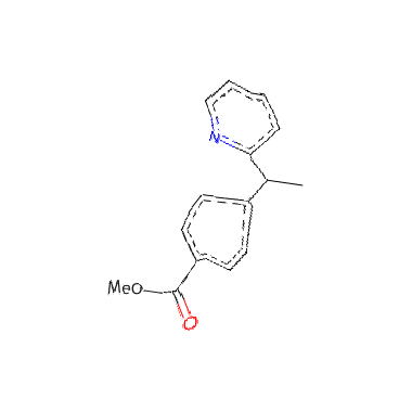 COC(=O)c1ccc(C(C)c2ccccn2)cc1